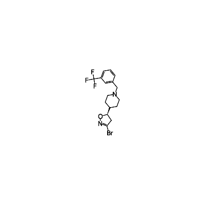 FC(F)(F)c1cccc(CN2CCC([C@H]3CC(Br)=NO3)CC2)c1